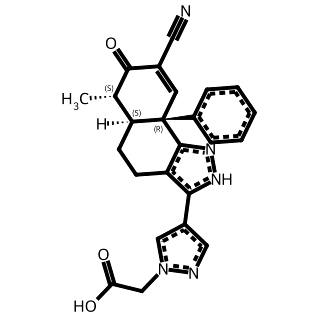 C[C@@H]1C(=O)C(C#N)=C[C@]2(c3ccccc3)c3n[nH]c(-c4cnn(CC(=O)O)c4)c3CC[C@@H]12